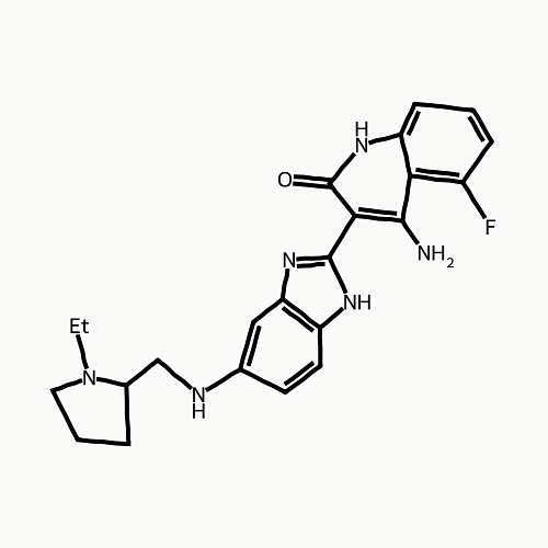 CCN1CCCC1CNc1ccc2[nH]c(-c3c(N)c4c(F)cccc4[nH]c3=O)nc2c1